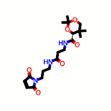 CC1(C)OCC(C)(C)[C@H](C(=O)NCCC(=O)NCCCN2C(=O)C=CC2=O)O1